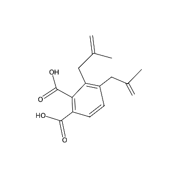 C=C(C)Cc1ccc(C(=O)O)c(C(=O)O)c1CC(=C)C